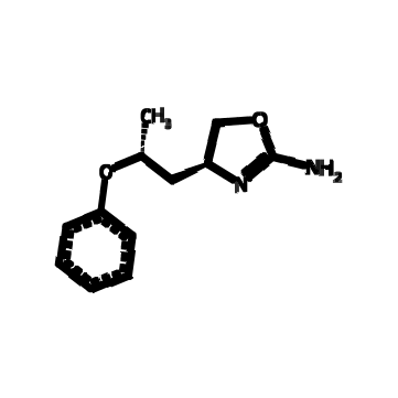 C[C@H](C[C@H]1COC(N)=N1)Oc1ccccc1